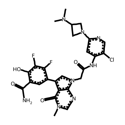 CN(C)C1CN(c2cc(NC(=O)Cn3cc(-c4cc(C(N)=O)c(O)c(F)c4F)c4c(=O)n(C)cnc43)c(Cl)cn2)C1